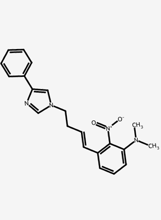 CN(C)c1cccc(/C=C/CCn2cnc(-c3ccccc3)c2)c1[N+](=O)[O-]